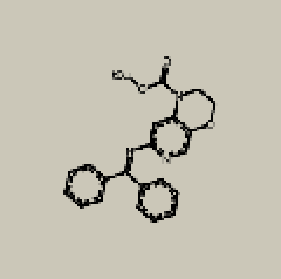 CC(C)(C)OC(=O)N1CCOc2cnc(N=C(c3ccccc3)c3ccccc3)cc21